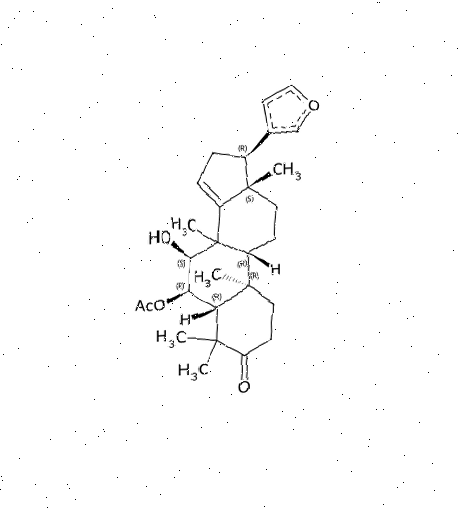 CC(=O)O[C@H]1[C@@H](O)C2(C)C3=CC[C@@H](c4ccoc4)[C@]3(C)CC[C@@H]2[C@@]2(C)CCC(=O)C(C)(C)[C@H]12